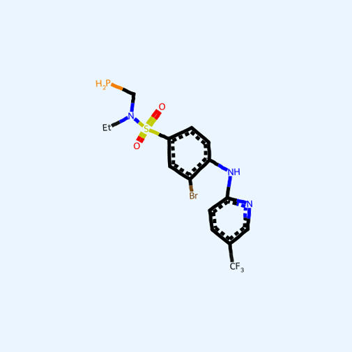 CCN(CP)S(=O)(=O)c1ccc(Nc2ccc(C(F)(F)F)cn2)c(Br)c1